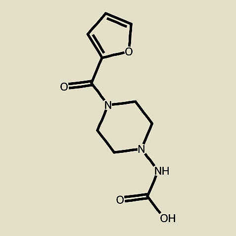 O=C(O)NN1CCN(C(=O)c2ccco2)CC1